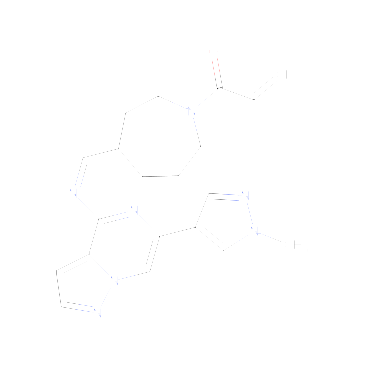 C=CC(=O)N1CCCC(/C=N\c2nc(-c3cnn(C)c3)cn3nccc23)CC1